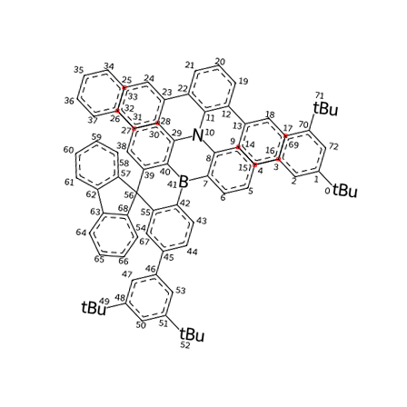 CC(C)(C)c1cc(-c2ccc3c(c2)N(c2c(-c4ccccc4)cccc2-c2ccccc2)c2cc(-c4ccccc4)cc4c2B3c2ccc(-c3cc(C(C)(C)C)cc(C(C)(C)C)c3)cc2C42c3ccccc3-c3ccccc32)cc(C(C)(C)C)c1